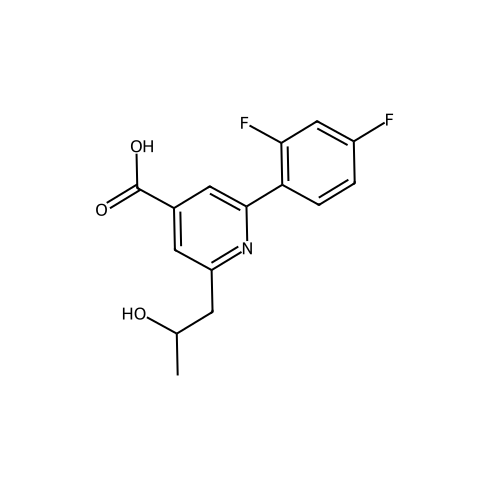 CC(O)Cc1cc(C(=O)O)cc(-c2ccc(F)cc2F)n1